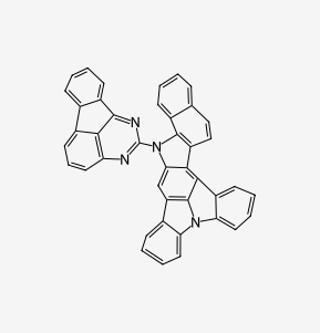 c1ccc2c(c1)-c1cccc3nc(-n4c5cc6c7ccccc7n7c8ccccc8c(c5c5ccc8ccccc8c54)c67)nc-2c13